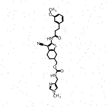 COc1cccc(CCC(=O)Nc2sc3c(c2C#N)CCC(COC(=O)NCc2cn(C)cn2)C3)c1